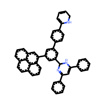 C1=CCNC(c2ccc(-c3cc(-c4cc5cccc6ccc7cccc4c7c65)cc(C4N=C(c5ccccc5)C=C(c5ccccc5)N4)c3)cc2)=C1